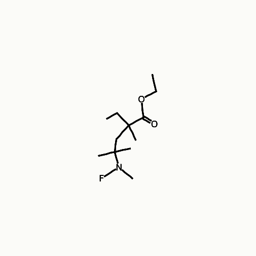 CCOC(=O)C(C)(CC)CC(C)(C)N(C)F